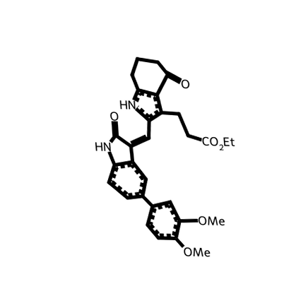 CCOC(=O)CCc1c(/C=C2\C(=O)Nc3ccc(-c4ccc(OC)c(OC)c4)cc32)[nH]c2c1C(=O)CCC2